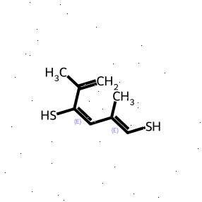 C=C(C)/C(S)=C\C(C)=C\S